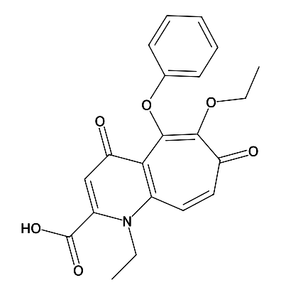 CCOc1c(Oc2ccccc2)c2c(=O)cc(C(=O)O)n(CC)c2ccc1=O